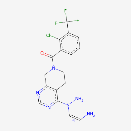 N/C=C\N(N)c1ncnc2c1CCN(C(=O)c1cccc(C(F)(F)F)c1Cl)C2